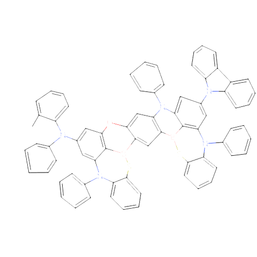 Cc1ccccc1N(c1ccccc1)c1cc2c3c(c1)N(c1ccccc1)c1ccccc1SB3c1cc3c(cc1O2)N(c1ccccc1)c1cc(-n2c4ccccc4c4ccccc42)cc2c1B3Sc1ccccc1N2c1ccccc1